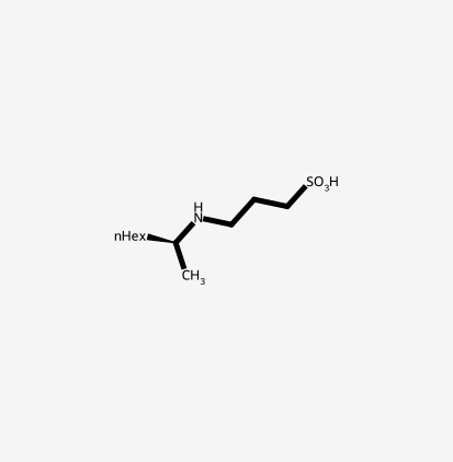 CCCCCC[C@H](C)NCCCS(=O)(=O)O